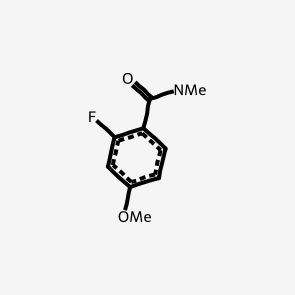 CNC(=O)c1ccc(OC)cc1F